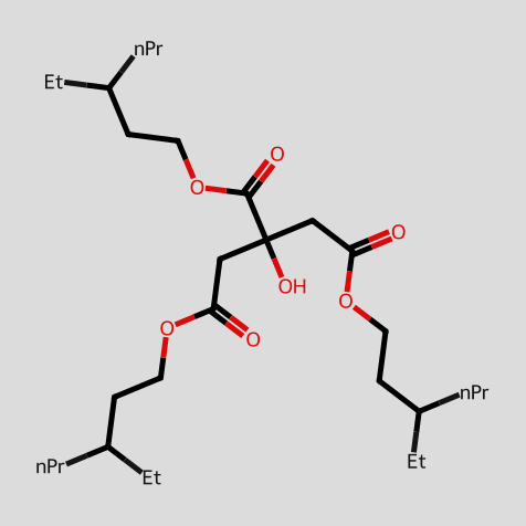 CCCC(CC)CCOC(=O)CC(O)(CC(=O)OCCC(CC)CCC)C(=O)OCCC(CC)CCC